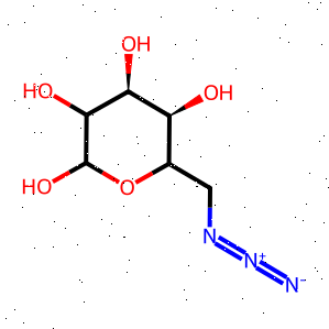 [N-]=[N+]=NCC1OC(O)C(O)[C@@H](O)[C@H]1O